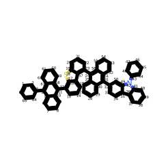 c1ccc(-c2c3ccccc3c(-c3cccc4c3sc3cccc(-c5c6ccccc6c(-c6ccc7c8ccccc8n(-c8ccccc8)c7c6)c6ccccc56)c34)c3ccccc23)cc1